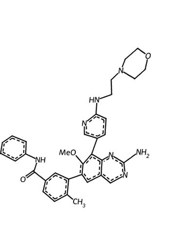 COc1c(-c2cc(C(=O)Nc3cccc(C(F)(F)F)c3)ccc2C)cc2cnc(N)nc2c1-c1ccc(NCCN2CCOCC2)nc1